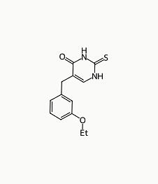 CCOc1cccc(Cc2c[nH]c(=S)[nH]c2=O)c1